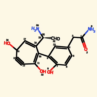 NC(=O)Cc1ccc(O)c(C2=C(O)C#CC(O)C=C2[C@H](N)C=O)c1